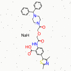 Cc1nc(C)c(-c2ccc(NC(=O)COCC(=O)N3CCN(C(c4ccccc4)c4ccccc4)CC3)c(C(=O)O)c2)s1.[NaH]